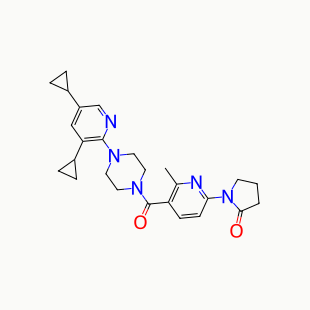 Cc1nc(N2CCCC2=O)ccc1C(=O)N1CCN(c2ncc(C3CC3)cc2C2CC2)CC1